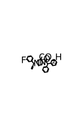 C#CC(c1cccc(F)c1)N1CCN(C(=O)C(c2ccccc2)c2ccccc2)C(C(=O)O)C1